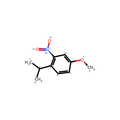 COc1ccc(C(C)C)c([N+](=O)[O-])c1